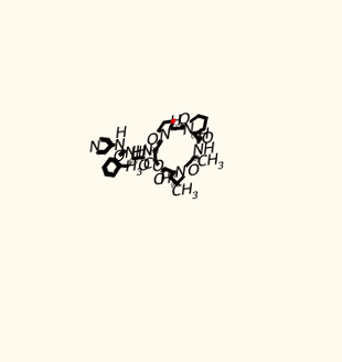 CC1OC(=O)[C@@H]2C[C@@H](C)CN2C(=O)[C@H](C)NC(=O)[C@@H]2CCCCN2C(=O)[C@@H]2CCCN2C(=O)[C@H]1NC(=O)[C@H](Cc1ccccc1)NC(=O)Nc1ccncc1